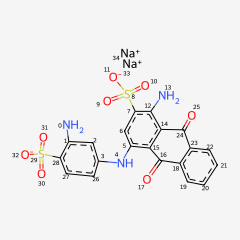 Nc1cc(Nc2cc(S(=O)(=O)[O-])c(N)c3c2C(=O)c2ccccc2C3=O)ccc1S(=O)(=O)[O-].[Na+].[Na+]